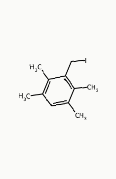 Cc1cc(C)c(C)c(CI)c1C